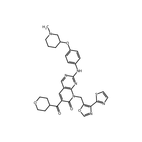 CN1CCCC(Oc2ccc(Nc3ncc4cc(C(=O)C5CCOCC5)c(=O)n(Cc5ocnc5-c5nccs5)c4n3)cc2)C1